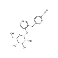 N#Cc1ccc(Cc2ccccc2O[C@H]2S[C@@H](CO)[C@@H](O)[C@H](O)[C@H]2O)cc1